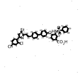 CCn1cc(-c2ccc(Cl)cc2Cl)nc1C=Cc1ccc(-c2ccc(Oc3ccc(C(=O)O)cc3NS(=O)(=O)c3ccccc3)cc2)cc1